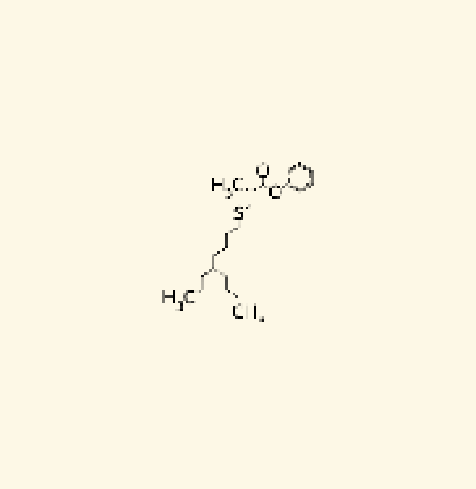 CCCCC(CCC)CCCCSCC(C)C(=O)Oc1ccccc1